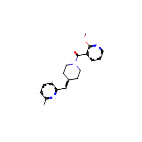 CCOc1ncccc1C(=O)N1CCC(=Cc2cccc(C)n2)CC1